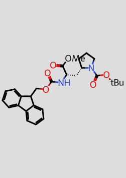 COC(=O)[C@H](C[C@@H]1CCCN1C(=O)OC(C)(C)C)NC(=O)OCC1c2ccccc2-c2ccccc21